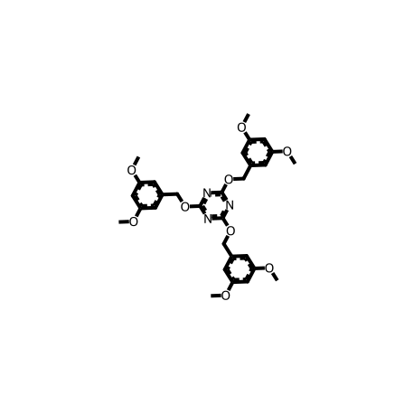 COc1cc(COc2nc(OCc3cc(OC)cc(OC)c3)nc(OCc3cc(OC)cc(OC)c3)n2)cc(OC)c1